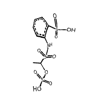 CC(OS(=O)(=O)O)S(=O)(=O)Nc1ccccc1S(=O)(=O)O